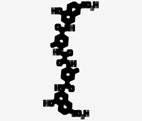 Cc1cc(C(=O)Nc2cc(O)c3ccc(S(=O)(=O)O)cc3c2)ccc1NC(=O)C(=O)Nc1ccc(C(=O)Nc2cc(O)c3ccc(S(=O)(=O)O)cc3c2)cc1C